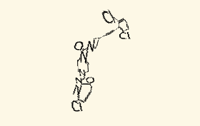 O=C(N1CCN(c2nc3nc(Cl)ccc3o2)CC1)N1CC(C#Cc2c(Cl)cccc2Cl)C1